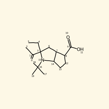 C=C(C)C1(CC)CC2C(C(=O)O)CCC2N1C(C)(C)C